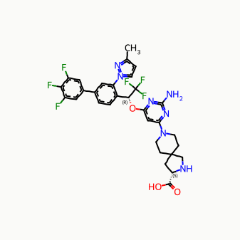 Cc1ccn(-c2cc(-c3cc(F)c(F)c(F)c3)ccc2[C@@H](Oc2cc(N3CCC4(CC3)CN[C@H](C(=O)O)C4)nc(N)n2)C(F)(F)F)n1